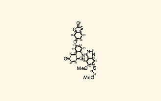 COCCOc1cc2ncnc(Nc3ccc(Oc4ccc5sc(=O)oc5c4)cc3C3=CC(=O)C=CC3=O)c2cc1OC